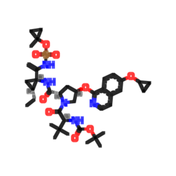 C=C(NS(=O)(=O)OC1(C)CC1)[C@@]1(NC(=O)[C@@H]2C[C@@H](Oc3nccc4cc(OC5CC5)ccc34)CN2C(=O)[C@@H](NC(=O)OC(C)(C)C)C(C)(C)C)C[C@H]1CC